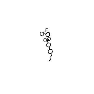 C=CCCC1CCC(C2CCC(C(=O)Oc3ccc(F)c(Cl)c3)CC2)CC1